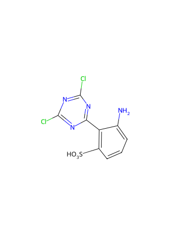 Nc1cccc(S(=O)(=O)O)c1-c1nc(Cl)nc(Cl)n1